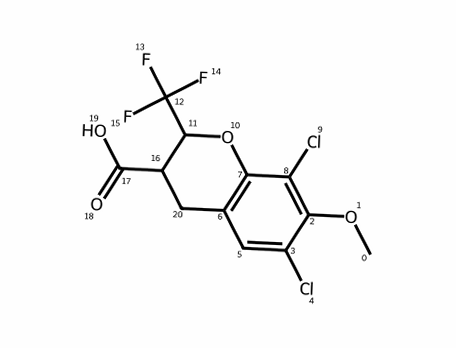 COc1c(Cl)cc2c(c1Cl)OC(C(F)(F)F)C(C(=O)O)C2